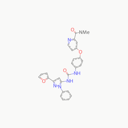 CNC(=O)c1cc(Oc2ccc(NC(=O)Nc3cc(-c4ccco4)nn3-c3ccccc3)cc2)ccn1